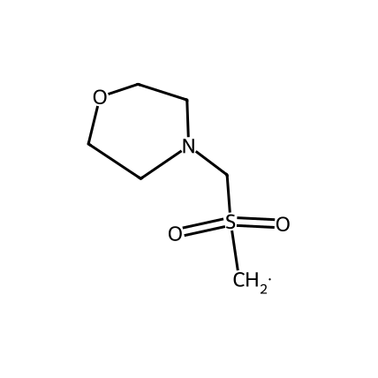 [CH2]S(=O)(=O)CN1CCOCC1